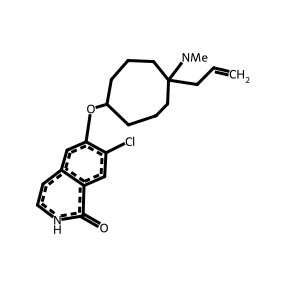 C=CCC1(NC)CCCC(Oc2cc3cc[nH]c(=O)c3cc2Cl)CCC1